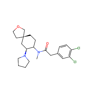 CN(C(=O)Cc1ccc(Cl)c(Cl)c1)C1CC[C@]2(CCOC2)C[C@@H]1N1CCCC1